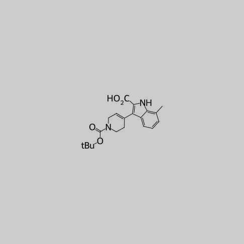 Cc1cccc2c(C3=CCN(C(=O)OC(C)(C)C)CC3)c(C(=O)O)[nH]c12